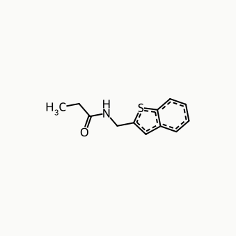 CCC(=O)NCc1cc2ccccc2s1